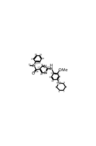 COc1cc(N2CCCCC2)ccc1Nc1ncc(C(=O)N(C)c2ccccc2)cn1